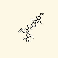 CC(=CC(C=C(C)C(=O)Oc1ccc(C(C)(C)c2ccc(O)cc2)cc1)(OCC1CO1)C1CO1)C(=O)O